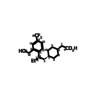 CCN(C[C@H]1CC[C@H](CC(=O)O)CC1)c1ccc(C(F)(F)F)cc1CO